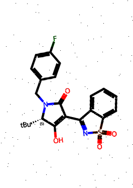 CC(C)(C)[C@H]1C(O)=C(C2=NS(=O)(=O)c3ccccc32)C(=O)N1Cc1ccc(F)cc1